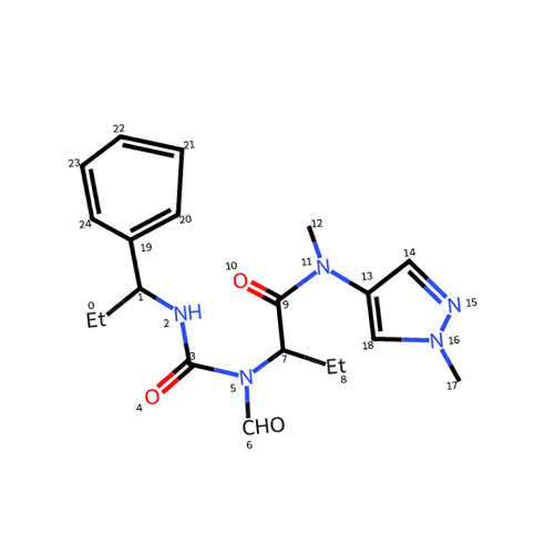 CCC(NC(=O)N(C=O)C(CC)C(=O)N(C)c1cnn(C)c1)c1ccccc1